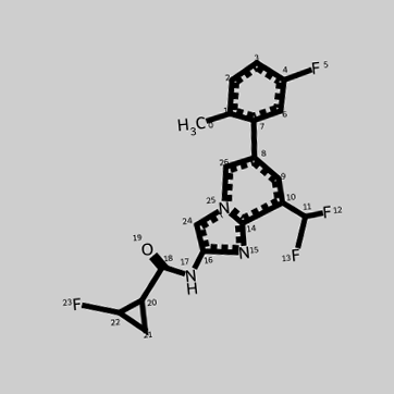 Cc1ccc(F)cc1-c1cc(C(F)F)c2nc(NC(=O)C3CC3F)cn2c1